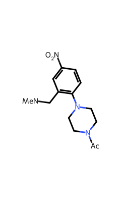 CNCc1cc([N+](=O)[O-])ccc1N1CCN(C(C)=O)CC1